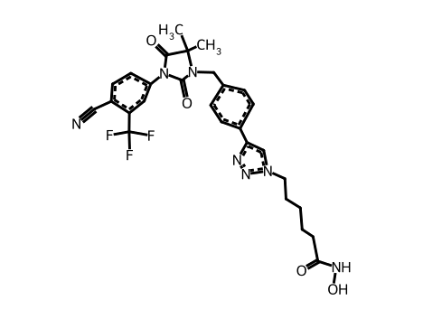 CC1(C)C(=O)N(c2ccc(C#N)c(C(F)(F)F)c2)C(=O)N1Cc1ccc(-c2cn(CCCCCC(=O)NO)nn2)cc1